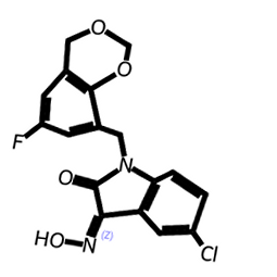 O=C1/C(=N\O)c2cc(Cl)ccc2N1Cc1cc(F)cc2c1OCOC2